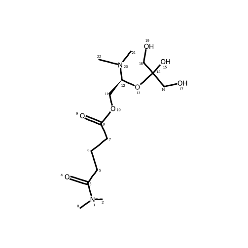 CN(C)C(=O)CCCC(=O)OC[C@H](OC(O)(CO)CO)N(C)C